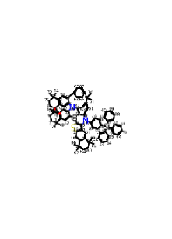 CC1(C)CCC(C)(C)c2cc3c(cc21)B1c2sc4cc5c(cc4c2N(c2ccc([Si](c4ccccc4)(c4ccccc4)c4ccccc4)cc2)c2cc4cc(c21)N3c1cc2c(cc1-c1ccc(cc1)C4(C)C)C(C)(C)CCC2(C)C)C(C)(C)CCC5(C)C